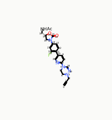 C#CCN1CCN(c2ccc(-c3ccc(N4C[C@H](CNC(C)=O)OC4=O)cc3F)cn2)C=N1